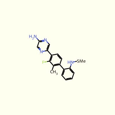 CSNc1ccccc1-c1ccc(-c2cnc(N)cn2)c(F)c1C